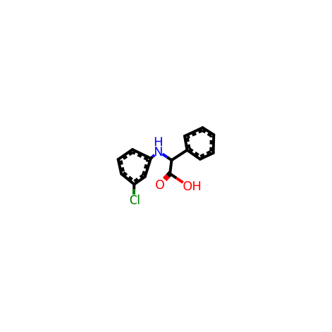 O=C(O)C(Nc1cccc(Cl)c1)c1ccccc1